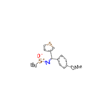 COc1ccc(/C(=N/[S+]([O-])C(C)(C)C)c2ccsc2)cc1